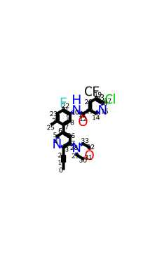 CC#Cc1ncc(-c2cc(NC(=O)c3cnc(Cl)c(C(F)(F)F)c3)c(F)cc2C)cc1N1CCOCC1